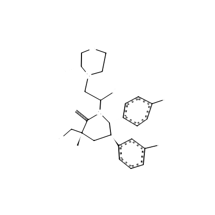 CCC(CN1CCOC[C@H]1C)N1C(=O)[C@@](C)(CC(=O)O)C[C@H](c2cccc(Cl)c2)[C@H]1c1ccc(Cl)cc1